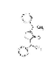 C[C@@H](c1ccccc1)[C@@H]1CCN([C@@H](C)c2ccccc2)C1=O